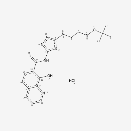 CC(C)(C)ONCCNc1nnc(NC(=O)c2ccc3cccnc3c2O)s1.Cl